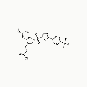 COc1ccc2c(c1)c(CCC(=O)O)cn2S(=O)(=O)c1ccc(-c2ccc(C(F)(F)F)cc2)s1